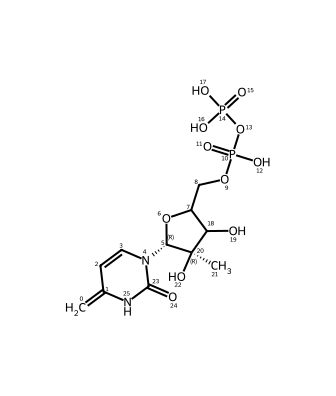 C=C1C=CN([C@@H]2OC(COP(=O)(O)OP(=O)(O)O)C(O)[C@@]2(C)O)C(=O)N1